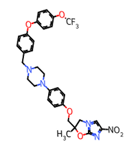 CC1(COc2ccc(N3CCN(Cc4ccc(Oc5ccc(OC(F)(F)F)cc5)cc4)CC3)cc2)Cn2cc([N+](=O)[O-])nc2O1